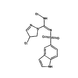 CCN/C(=N/S(=O)(=O)c1ccc2[nH]ccc2c1)N1CC(CC)C=N1